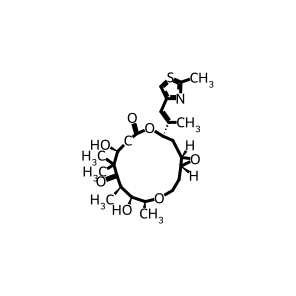 CC(=Cc1csc(C)n1)[C@@H]1C[C@@H]2O[C@@H]2CCO[C@@H](C)[C@@H](O)[C@@H](C)C(=O)C(C)(C)[C@@H](O)CC(=O)O1